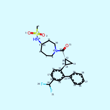 CS(=O)(=O)N[C@@H]1CCCN(C(=O)[C@@H]2C[C@H]2c2ccc(C(F)F)cc2-c2ccccc2)CC1